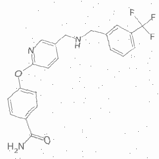 NC(=O)c1ccc(Oc2ccc(CNCc3cccc(C(F)(F)F)c3)cn2)cc1